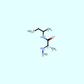 CC(CC(=O)O)NC(=O)[C@H](C)NC=O